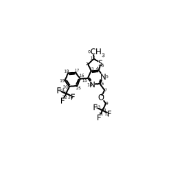 CC1Cc2c(nc(COCC(F)(F)F)nc2-c2cccc(C(F)(F)F)c2)S1